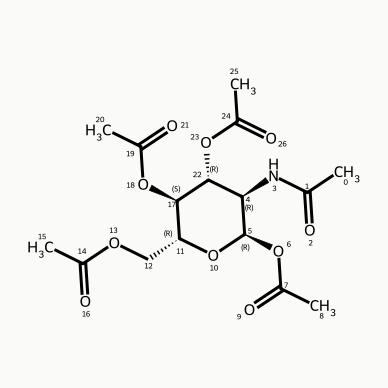 CC(=O)N[C@H]1[C@@H](OC(C)=O)O[C@H](COC(C)=O)[C@@H](OC(C)=O)[C@@H]1OC(C)=O